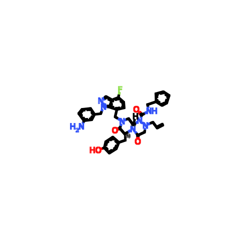 C=CCN1CC(=O)N2[C@@H](Cc3ccc(O)cc3)C(=O)N(Cc3ccc(F)c4cnn(Cc5cccc(N)c5)c34)C[C@@H]2N1C(=O)NCc1ccccc1